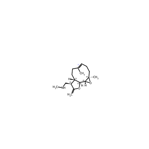 C=C1O[C@H]2[C@@H](CC/C(C)=C/CC[C@@]3(C)O[C@H]23)[C@@H]1CNC